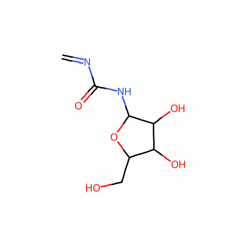 C=NC(=O)NC1OC(CO)C(O)C1O